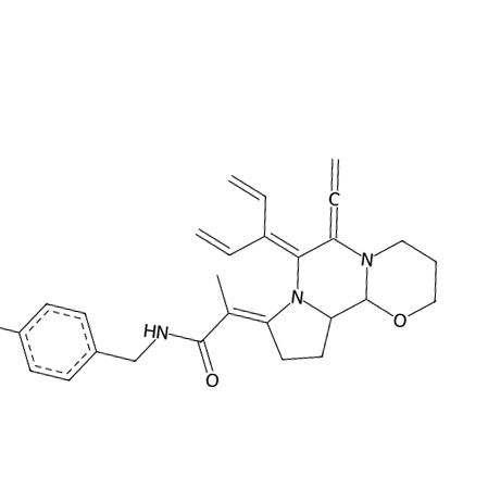 C=C=C1C(=C(C=C)C=C)N2/C(=C(\C)C(=O)NCc3ccc(F)cc3)CCC2C2OCCCN12